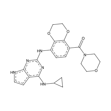 O=C(c1ccc(Nc2nc(NC3CC3)c3cc[nH]c3n2)c2c1OCCO2)N1CCOCC1